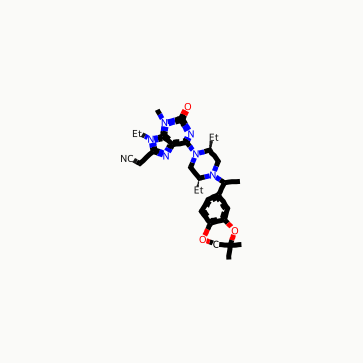 CC[C@H]1CN(C(C)c2ccc3c(c2)OC(C)(C)CO3)[C@H](CC)CN1c1nc(=O)n(C)c2c1nc(CC#N)n2CC